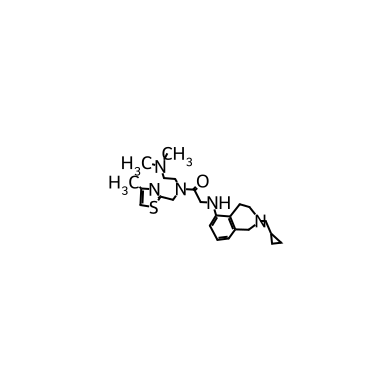 Cc1csc(CN(CCN(C)C)C(=O)CNc2cccc3c2CCN(CC2CC2)C3)n1